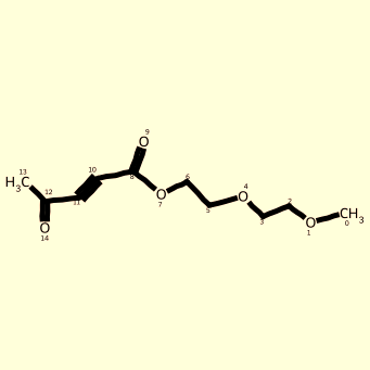 COCCOCCOC(=O)C#CC(C)=O